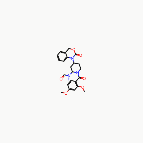 COc1ccc(C(=O)N2CCC(N3C(=O)OCc4ccccc43)CC2NC=O)c(OC)c1